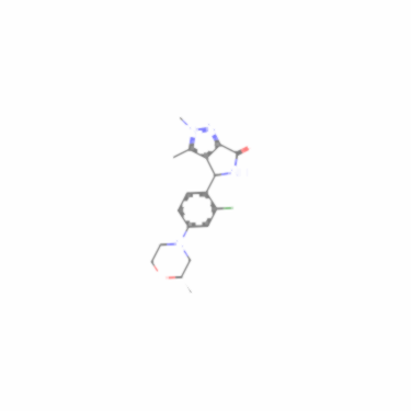 Cc1c2c(nn1C)C(=O)NC2c1ccc(N2CCO[C@H](C)C2)cc1F